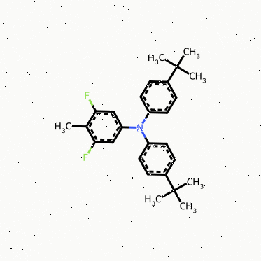 Cc1c(F)cc(N(c2ccc(C(C)(C)C)cc2)c2ccc(C(C)(C)C)cc2)cc1F